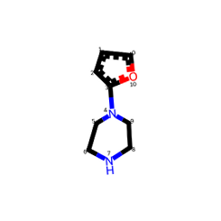 [c]1ccc(N2CCNCC2)o1